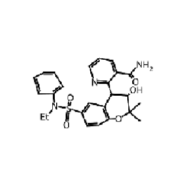 CCN(c1ccccc1)S(=O)(=O)c1ccc2c(c1)[C@@H](c1ncccc1C(N)=O)[C@H](O)C(C)(C)O2